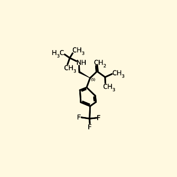 C=C(C(C)C)[C@H](CNC(C)(C)C)c1ccc(C(F)(F)F)cc1